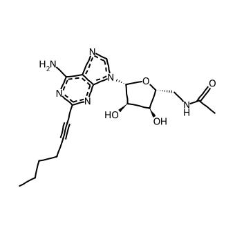 CCCCC#Cc1nc(N)c2ncn([C@@H]3O[C@H](CNC(C)=O)[C@@H](O)[C@H]3O)c2n1